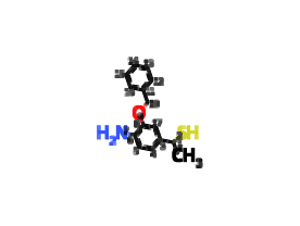 CC(S)c1ccc(N)c(OCc2ccccc2)c1